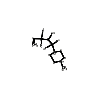 C=CC(F)(F)C(F)C(F)(F)N1CCN(C(F)(F)F)CC1